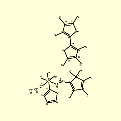 CC1=C(C)C(C)(C)[C]([Zr+2])=C1C.CC1=C(C)C(C)=C(C2=C(C)C(C)=C(C)C2)C1.[CH3][Zr]([CH3])([CH3])([Cl])([Cl])[C]1=CC=CC1.[Cl-].[Cl-]